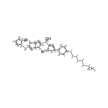 CCCCCCCCc1ccc(-c2cc(Br)c(C(O)c3cc4sc(Cc5sccc5Br)cc4s3)s2)cc1